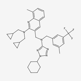 Cc1cc(CN(Cc2cc3cccc(C)c3nc2N(CC2CC2)CC2CC2)c2nnn(C3CCCCC3)n2)cc(C(F)(F)F)c1